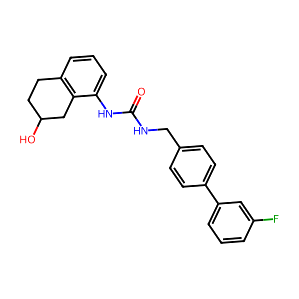 O=C(NCc1ccc(-c2cccc(F)c2)cc1)Nc1cccc2c1CC(O)CC2